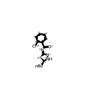 CCCCC1N[N]C(=NC(=O)c2ccccc2Cl)S1